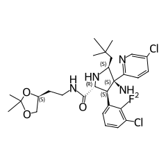 CC(C)(C)C[C@@H]1N[C@@H](C(=O)NCC[C@H]2COC(C)(C)O2)[C@H](c2cccc(Cl)c2F)[C@@]1(N)c1ccc(Cl)cn1